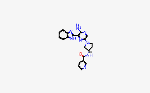 Nc1ncc(N2CC[C@H](NC(=O)c3cccnc3)C2)nc1-c1nc2ccccc2[nH]1